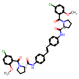 COc1ccc(Cl)cc1C(=O)N1CCC[C@H]1C(=O)Nc1ccc(/C=C/c2ccc(NC(=O)[C@@H]3CCCN3C(=O)c3cc(Cl)ccc3OC)cc2)cc1